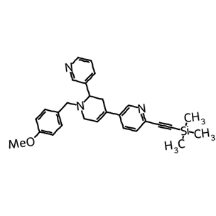 COc1ccc(CN2CC=C(c3ccc(C#C[Si](C)(C)C)nc3)CC2c2cccnc2)cc1